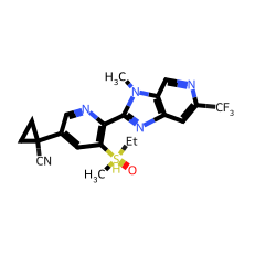 CC[SH](C)(=O)c1cc(C2(C#N)CC2)cnc1-c1nc2cc(C(F)(F)F)ncc2n1C